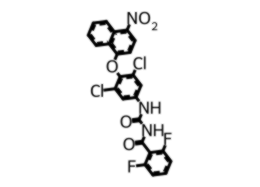 O=C(NC(=O)c1c(F)cccc1F)Nc1cc(Cl)c(Oc2ccc([N+](=O)[O-])c3ccccc23)c(Cl)c1